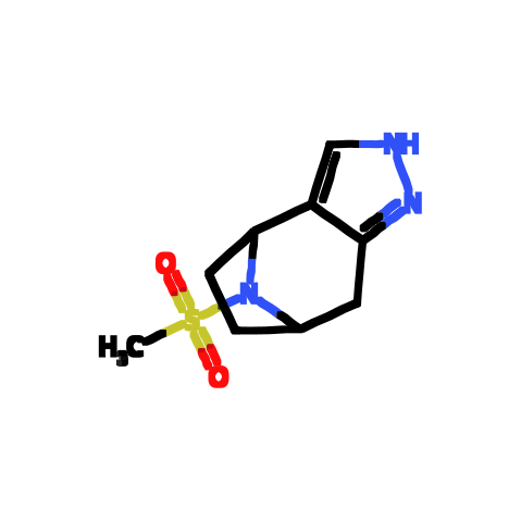 CS(=O)(=O)N1C2CCC1c1c[nH]nc1C2